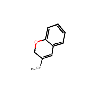 CC(=O)NC1=Cc2ccccc2OC1